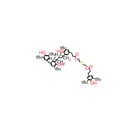 CC(C)(C)c1cc(CCC(=O)OCCSCCOC(=O)CCc2cc(C(C)(C)C)c(O)c(C(C)(C)CCC(C)(C)c3cc(Cc4cc(C(C)(C)C)c(O)c(C(C)(C)C)c4)cc(C(C)(C)C)c3O)c2)cc(C(C)(C)C)c1O